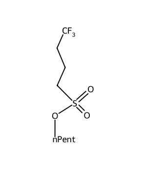 CCCCCOS(=O)(=O)CCCC(F)(F)F